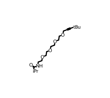 CC(C)C(=O)NCCOCCOCCOCCOCC#CC(C)(C)C